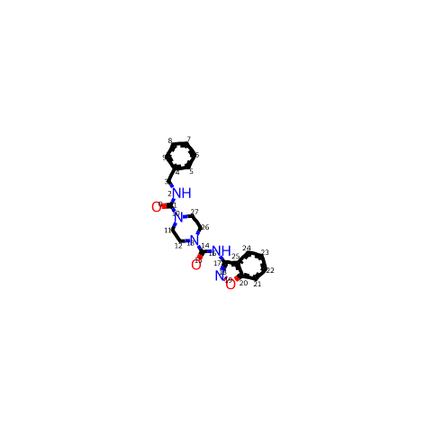 O=C(NCc1ccccc1)N1CCN(C(=O)Nc2noc3ccccc23)CC1